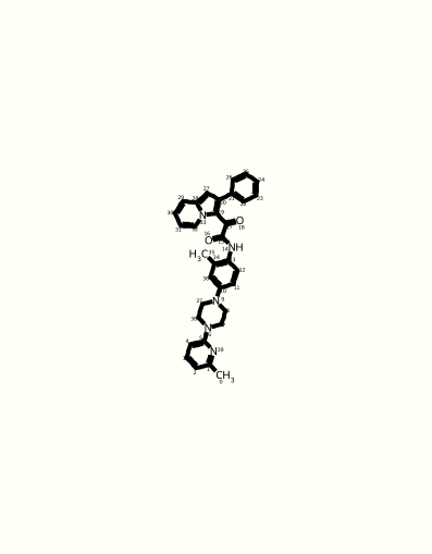 Cc1cccc(N2CCN(c3ccc(NC(=O)C(=O)c4c(-c5ccccc5)cc5ccccn45)c(C)c3)CC2)n1